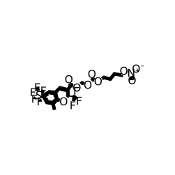 Cc1cc(S(F)(F)(F)(F)F)cc2c1O[C@H](C(F)(F)F)C(C(=O)OCOC(=O)OCCCCO[N+](=O)[O-])=C2